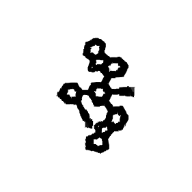 N#Cc1ccccc1-c1cc(-c2cccc3c2oc2ccccc23)c(C#N)c(-c2cccc3c2oc2ccccc23)c1